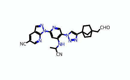 CC(C#N)Nc1cc(-n2ncc3cc(C#N)cnc32)ncc1-n1cc(C23CCC(CC=O)(CC2)C3)nn1